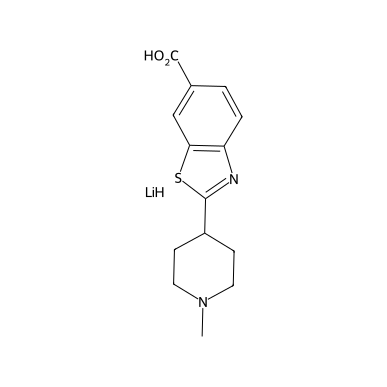 CN1CCC(c2nc3ccc(C(=O)O)cc3s2)CC1.[LiH]